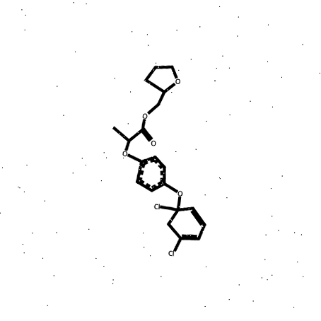 CC(Oc1ccc(OC2(Cl)C=CC=C(Cl)C2)cc1)C(=O)OCC1CCCO1